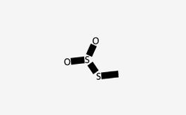 C=S=S(=O)=O